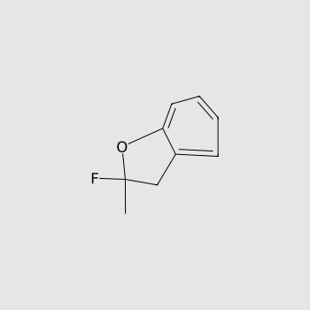 CC1(F)Cc2ccccc2O1